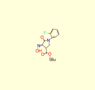 CC(C)(C)OC(=O)C1CN(c2ccccc2F)C(=O)/C1=N/O